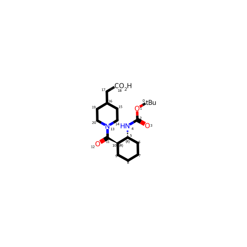 CC(C)(C)OC(=O)N[C@@H]1CCCC[C@H]1C(=O)N1CCC(CC(=O)O)CC1